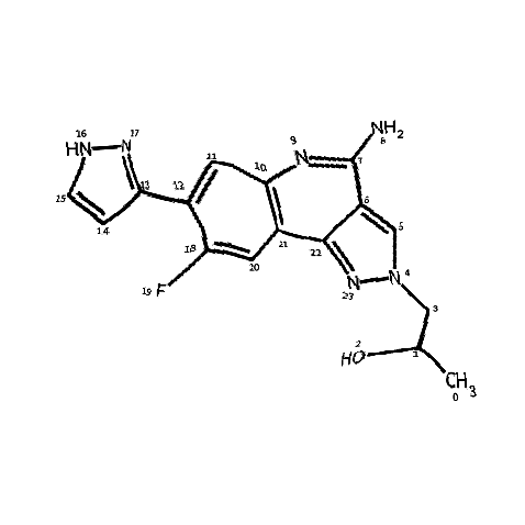 CC(O)Cn1cc2c(N)nc3cc(-c4cc[nH]n4)c(F)cc3c2n1